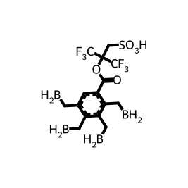 BCc1cc(C(=O)OC(CS(=O)(=O)O)(C(F)(F)F)C(F)(F)F)c(CB)c(CB)c1CB